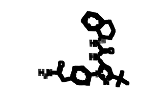 CC(C)(C)c1cc(NC(=O)N[C@H]2CCCc3ccccc32)n(-c2ccc(CC(N)=O)cc2)n1